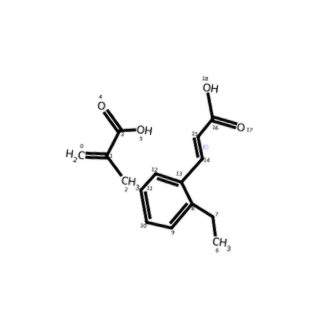 C=C(C)C(=O)O.CCc1ccccc1/C=C/C(=O)O